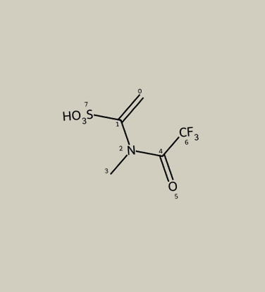 C=C(N(C)C(=O)C(F)(F)F)S(=O)(=O)O